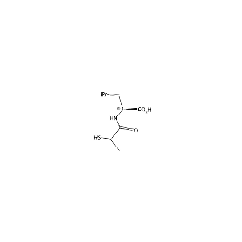 CC(C)C[C@H](NC(=O)C(C)S)C(=O)O